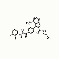 COCCNC(=O)c1cn2ncnc(N)c2c1-c1ccc(NC(=O)Nc2cccc(C)c2F)cc1